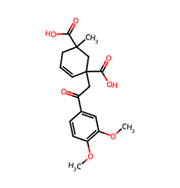 COc1ccc(C(=O)CC2(C(=O)O)C=CCC(C)(C(=O)O)C2)cc1OC